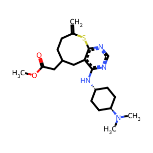 C=C1CCC(CC(=O)OC)Cc2c(N[C@H]3CC[C@H](N(C)C)CC3)ncnc2S1